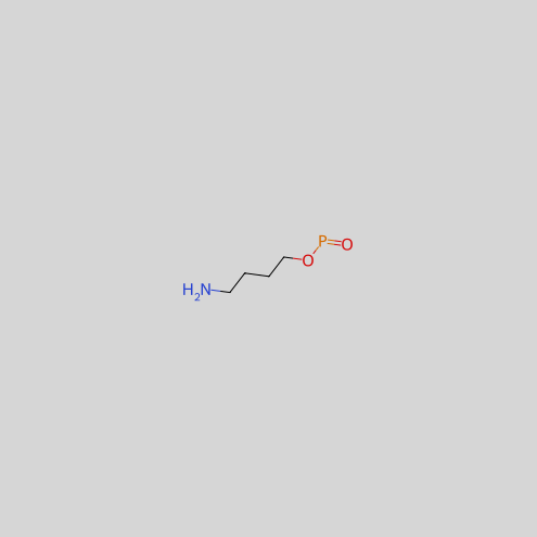 NCCCCOP=O